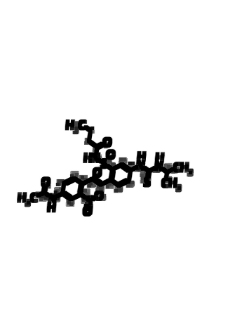 CCCC(=O)NS(=O)(=O)c1cc(NC(=S)NC(C)C)ccc1/C=C/c1ccc(NC(C)=O)cc1[SH](=O)=O